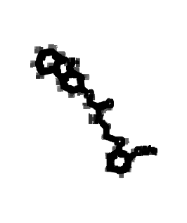 COc1ccccc1OCCNC(=O)COc1ccc2c(c1)[nH]c1ccccc12